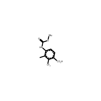 Cc1c(NC(=O)OC(C)(C)C)ccc(C(=O)O)c1C(F)(F)F